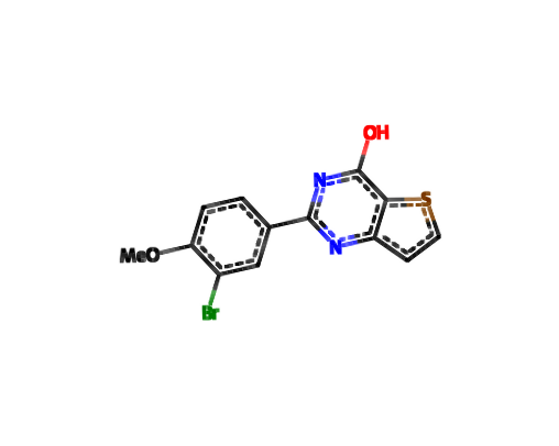 COc1ccc(-c2nc(O)c3sccc3n2)cc1Br